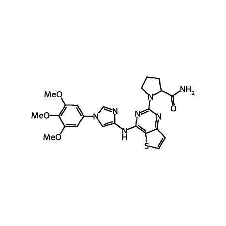 COc1cc(-n2cnc(Nc3nc(N4CCCC4C(N)=O)nc4ccsc34)c2)cc(OC)c1OC